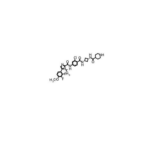 COc1ccc(-c2cnc(C(=O)Nc3ccc(C(=O)N[C@H]4C[C@@H](NC(=O)C5CCNCC5)C4)c(Cl)c3)n2C)c(F)c1F